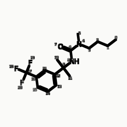 CCCCN(C)C(=O)NC(C)(C)c1cccc(C(F)(F)F)c1